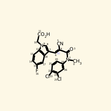 CN(C(=O)/C(C#N)=C/c1cn(CC(=O)O)c2ccc(F)cc12)c1ccc(Cl)c(Cl)c1